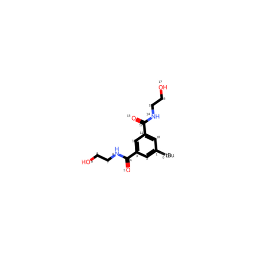 CC(C)(C)c1cc(C(=O)NCCO)cc(C(=O)NCCO)c1